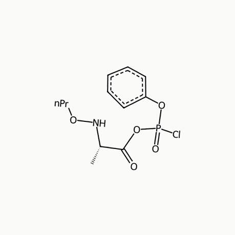 CCCON[C@@H](C)C(=O)OP(=O)(Cl)Oc1ccccc1